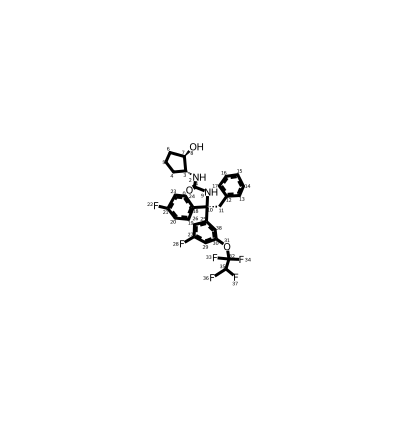 O=C(N[C@@H]1CCC[C@H]1O)N[C@](Cc1ccccc1)(c1ccc(F)cc1)c1cc(F)cc(OC(F)(F)C(F)F)c1